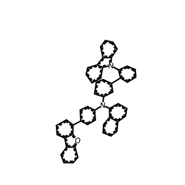 c1cc(-c2ccccc2-n2c3ccccc3c3ccccc32)cc(N(c2ccc(-c3cccc4c3oc3ccccc34)cc2)c2cccc3ccccc23)c1